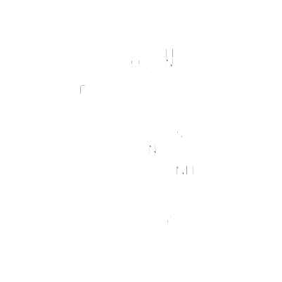 O=c1[nH]ccc2c3sc(NCC4CCCO4)nc3c3ccc(F)cc3c12